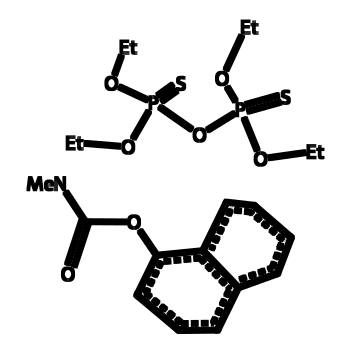 CCOP(=S)(OCC)OP(=S)(OCC)OCC.CNC(=O)Oc1cccc2ccccc12